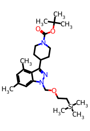 Cc1cc(C)c2c(C3CCN(C(=O)OC(C)(C)C)CC3)nn(COCC[Si](C)(C)C)c2c1